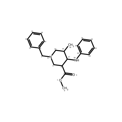 COC(=O)C1CN(Cc2ccccc2)CC(C)C1Nc1ccccc1